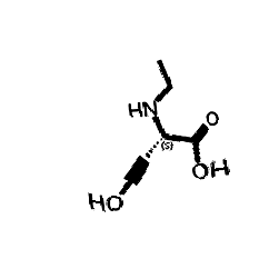 CCN[C@@H](C#CO)C(=O)O